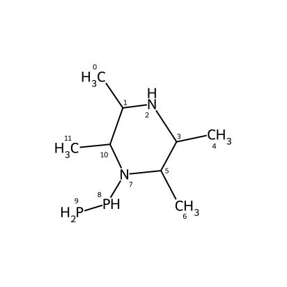 CC1NC(C)C(C)N(PP)C1C